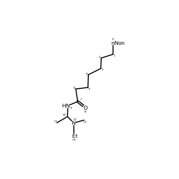 CCCCCCCCCCCCCCCC(=O)NC(C)N(C)CC